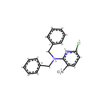 O=[N+]([O-])c1ccc(Cl)nc1N(Cc1ccccc1)Cc1ccccc1